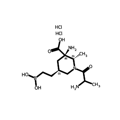 CC(N)C(=O)N1C[C@@H](CCB(O)O)C[C@](N)(C(=O)O)[C@@H]1C.Cl.Cl